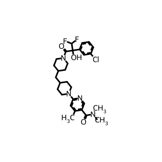 Cc1cc(N2CCC(CC3CCN(C(=O)C(O)(c4cccc(Cl)c4)C(F)F)CC3)CC2)ncc1C(=O)N(C)C